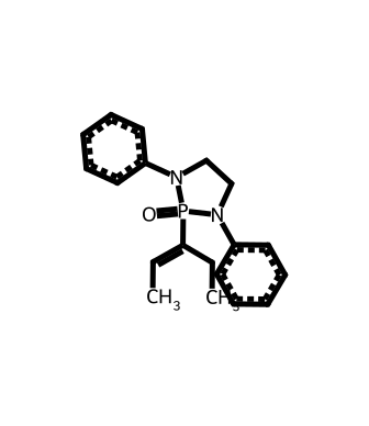 C/C=C(\CC)P1(=O)N(c2ccccc2)CCN1c1ccccc1